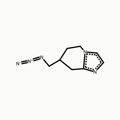 [N-]=[N+]=NCC1CCn2ccnc2C1